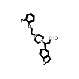 O=CCC(c1ccc2c(c1)CCO2)N1CCN(CCOc2ccccc2F)CC1